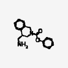 NCC1CN(C(=O)Oc2ccccc2)Cc2ccccc21